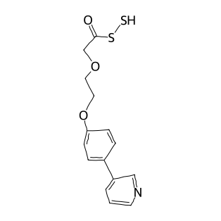 O=C(COCCOc1ccc(-c2cccnc2)cc1)SS